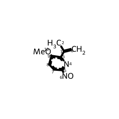 C=C(C)c1nc(N=O)ccc1OC